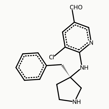 O=Cc1cnc(N[C@]2(Cc3ccccc3)CCNC2)c(Cl)c1